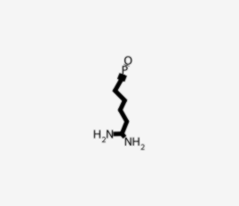 NC(N)CCCCC#P=O